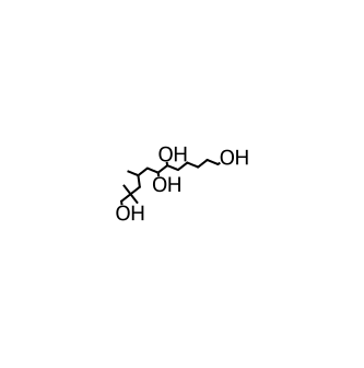 CC(CC(O)C(O)CCCCCO)CC(C)(C)CO